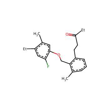 CCC(=O)CCc1cccc(C)c1COc1cc(C)c(CC)cc1F